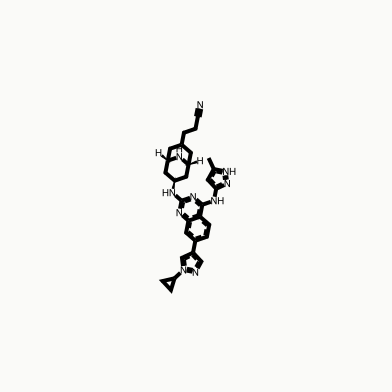 Cc1cc(Nc2nc(N[C@@H]3C[C@H]4CC(CCC#N)C[C@@H](C3)N4)nc3cc(-c4cnn(C5CC5)c4)ccc23)n[nH]1